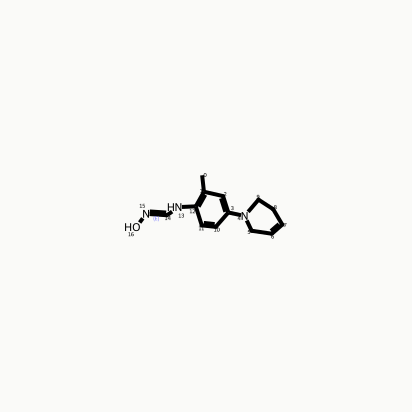 Cc1cc(N2CC=CCC2)ccc1N/C=N/O